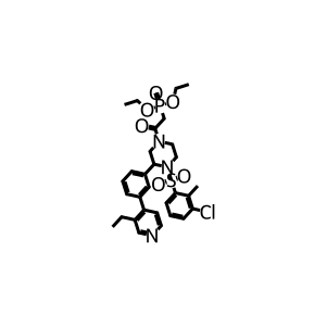 CCOP(=O)(CC(=O)N1CCN(S(=O)(=O)c2cccc(Cl)c2C)C(c2cccc(-c3ccncc3CC)c2)C1)OCC